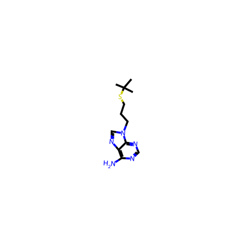 CC(C)(C)SCCCn1cnc2c(N)ncnc21